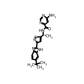 C[C@@H](NC(=O)c1cc(N)ncn1)c1cc(-c2nc3ccc(C(C)(C)C)cc3[nH]2)no1